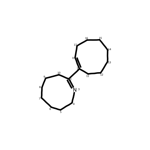 C1=C(C2=NCCCCCCC2)CCCCCCC1